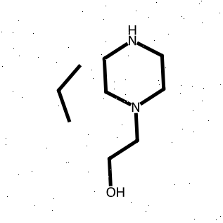 CCC.OCCN1CCNCC1